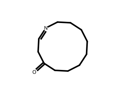 O=C1CC=NCCCCCCCC1